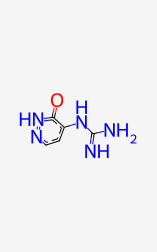 N=C(N)Nc1ccn[nH]c1=O